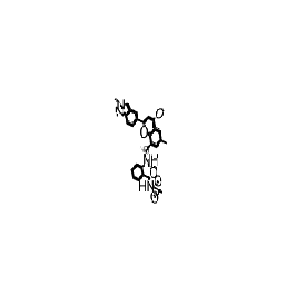 Cc1cc([C@@H](C)Nc2ccccc2C(=O)NS(C)(=O)=O)c2oc(-c3ccc4nn(C)cc4c3)cc(=O)c2c1